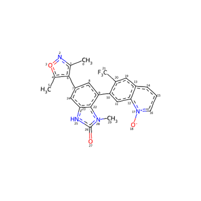 Cc1noc(C)c1-c1cc(-c2cc3c(ccc[n+]3[O-])cc2C(F)(F)F)c2c(c1)[nH]c(=O)n2C